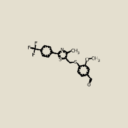 COc1cc(C=O)ccc1SCc1sc(-c2ccc(C(F)(F)F)cc2)nc1C